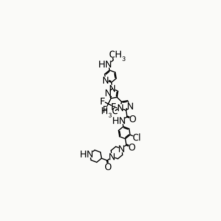 CCNc1ccc(-n2cc(-c3cnc(C(=O)Nc4ccc(C(=O)N5CCN(C(=O)C6CCNCC6)CC5)c(Cl)c4)n3C)c(C(F)(F)F)n2)nc1